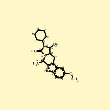 COc1ccc2[nH]c3c(c2c1)CC1C(O)N(C2CCCCC2)C(=O)N1C3C